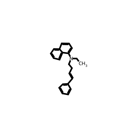 CCN(CCC=Cc1ccccc1)c1cccc2ccccc12